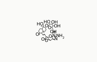 C[C@]12CC[C@@H](OC3OC(CO)C(O)C(O)C3O)[C@@](C)(CO)C1CCC1(CO1)C2/C=C/C1=CC(=C\c2cnc(N)[nH]c2=O)/OC1=O